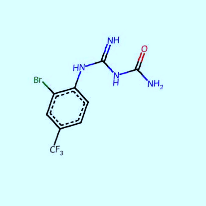 N=C(NC(N)=O)Nc1ccc(C(F)(F)F)cc1Br